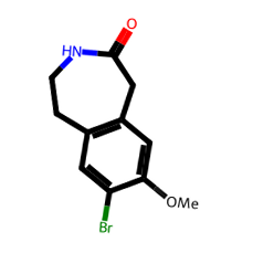 COc1cc2c(cc1Br)CCNC(=O)C2